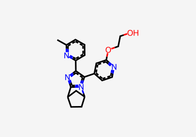 Cc1cccc(-c2nc3n(c2-c2ccnc(OCCO)c2)C2CCC3C2)n1